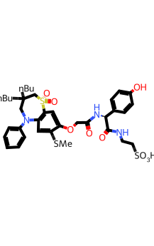 CCCCC1(CCCC)CN(c2ccccc2)c2cc(SC)c(OCC(=O)N[C@@H](C(=O)NCCS(=O)(=O)O)c3ccc(O)cc3)cc2S(=O)(=O)C1